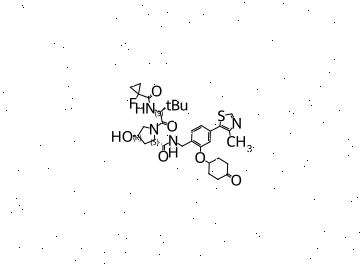 Cc1ncsc1-c1ccc(CNC(=O)[C@@H]2C[C@@H](O)CN2C(=O)[C@@H](NC(=O)C2(F)CC2)C(C)(C)C)c(OC2CCC(=O)CC2)c1